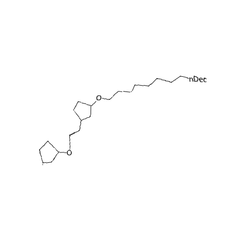 [CH2]CCCCCCCCCCCCCCCCCOC1CCC(CCOC2C[CH]CC2)C1